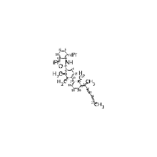 C=c1c(C(=O)Nc2c(C(C)C)cccc2C(C)C)ccc(-c2ccc/c(=C(/C)C#CC#CC)c2=C)c1=C